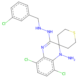 NN1c2c(Cl)ccc(Cl)c2N=C(NNCc2cccc(Cl)c2)C12CCSCC2